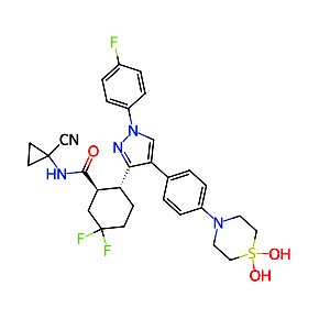 N#CC1(NC(=O)[C@@H]2CC(F)(F)CC[C@H]2c2nn(-c3ccc(F)cc3)cc2-c2ccc(N3CCS(O)(O)CC3)cc2)CC1